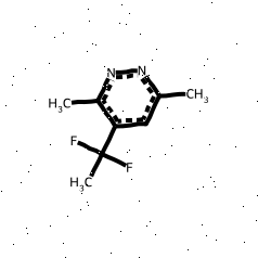 Cc1cc(C(C)(F)F)c(C)nn1